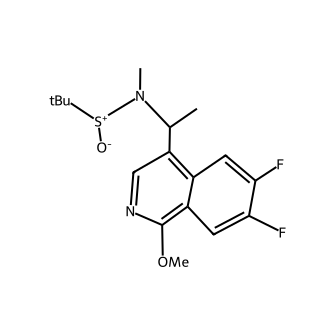 COc1ncc(C(C)N(C)[S+]([O-])C(C)(C)C)c2cc(F)c(F)cc12